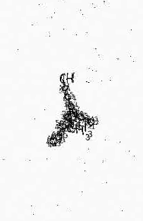 C#Cc1ccc(-c2ccc(-c3ccc(N(c4ccc(-c5ccccc5)cc4)c4ccc5c(c4)C(C)(C)C4C=C(c6ccc7ccccc7c6)C=CC54)cc3)cc2)cc1